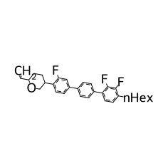 C=CC1CCC(c2ccc(-c3ccc(-c4ccc(CCCCCC)c(F)c4F)cc3)cc2F)CO1